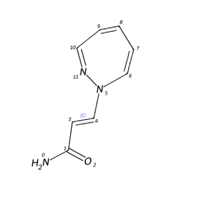 NC(=O)/C=C/N1C=CC=CC=N1